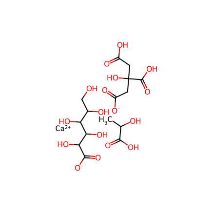 CC(O)C(=O)O.O=C([O-])C(O)C(O)C(O)C(O)CO.O=C([O-])CC(O)(CC(=O)O)C(=O)O.[Ca+2]